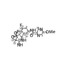 COc1cnc(C(=O)Nc2cc(F)c(F)c([C@]3(C)CS(=O)(=O)C(C)(C)C(=N)N3)c2)cn1